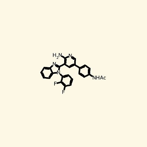 CC(=O)Nc1ccc(-c2cnc(N)c(-c3nc4ccccc4n3-c3cccc(F)c3F)c2)cc1